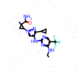 CCNc1nc(Nc2cn(C3CC3(C)C(N)=O)nc2C2CC2)ncc1C(F)(F)F